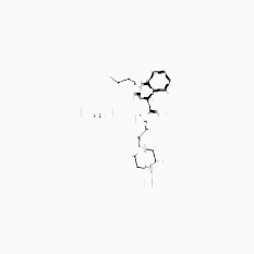 CCCn1nc(C(=O)NCCN2CCNCC2)c2ccccc21.Cl.Cl